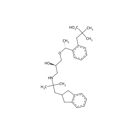 C[C@@H](OC[C@H](O)CNC(C)(C)CC1Cc2ccccc2C1)c1ccccc1CC(C)(C)C(=O)O